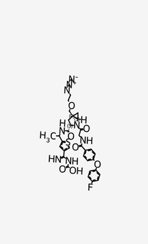 CC(NC(=O)[C@@H]1C[C@]2(COCCN=[N+]=[N-])C[C@@H]2N1C(=O)CNC(=O)c1ccc(Oc2ccc(F)cc2)cc1)c1cc(C(=N)NC(=O)O)cs1